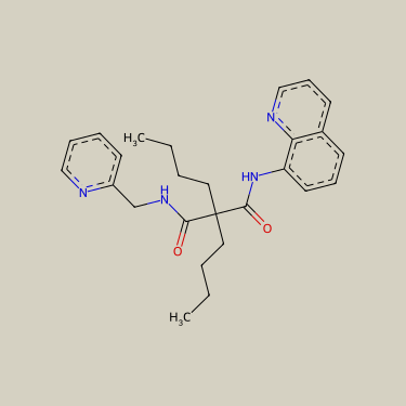 CCCCC(CCCC)(C(=O)NCc1ccccn1)C(=O)Nc1cccc2cccnc12